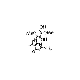 CO[C@H]([C@H](O)[C@@H](CO)OC)n1cc(C)c2c(=O)[nH]c(N)nc21